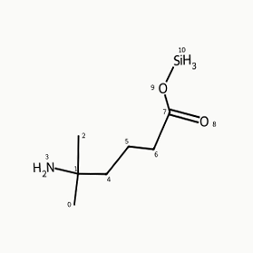 CC(C)(N)CCCC(=O)O[SiH3]